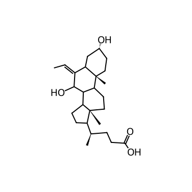 C/C=C1\C(O)C2C(CC[C@@]3(C)C2CCC3[C@H](C)CCC(=O)O)[C@@]2(C)CC[C@@H](O)CC12